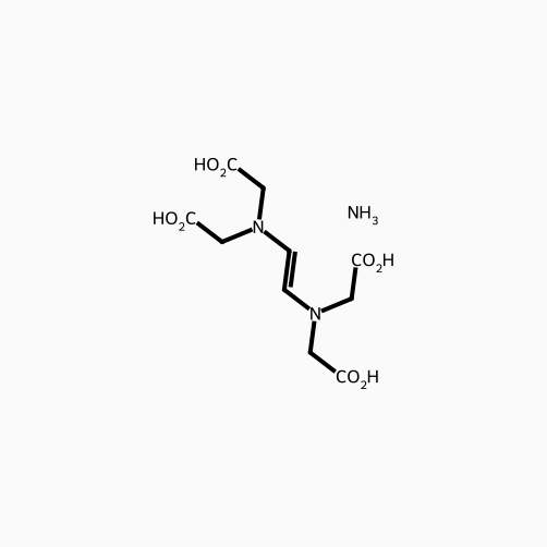 N.O=C(O)CN(C=CN(CC(=O)O)CC(=O)O)CC(=O)O